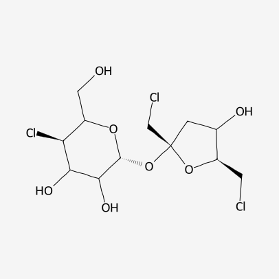 OCC1O[C@H](O[C@]2(CCl)CC(O)[C@@H](CCl)O2)C(O)C(O)[C@H]1Cl